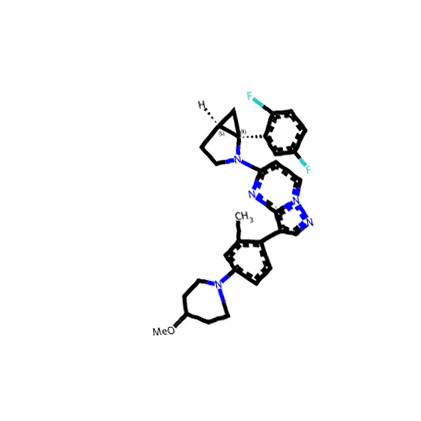 COC1CCN(c2ccc(-c3cnn4ccc(N5CC[C@H]6C[C@]65c5cc(F)ccc5F)nc34)c(C)c2)CC1